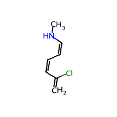 C=C(Cl)/C=C\C=C/NC